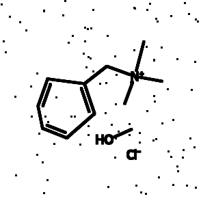 CO.C[N+](C)(C)Cc1ccccc1.[Cl-]